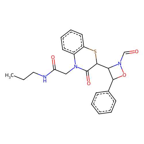 CCCNC(=O)CN1C(=O)C(C2C(c3ccccc3)ON2C=O)Sc2ccccc21